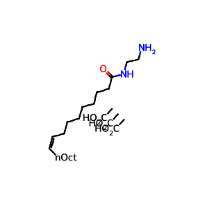 CC(=O)O.CC(=O)O.CC(=O)O.CCCCCCCC/C=C\CCCCCCCC(=O)NCCN